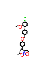 CCOc1cc(Cl)ccc1-c1ccc(COc2ccc([C@@H](CC(C)=O)c3ccon3)cc2)cc1